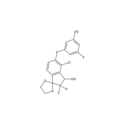 N#Cc1cc(F)cc(Oc2ccc3c(c2Cl)C(O)C(F)(F)C32OCCO2)c1